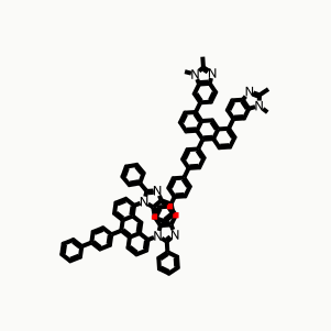 Cc1nc2ccc(-c3cccc4c(-c5ccc(-c6ccc(-c7ccc8c(c7)nc(-c7ccccc7)n8-c7cccc8c(-c9ccc(-c%10ccccc%10)cc9)c9cccc(-n%10c(-c%11ccccc%11)nc%11ccccc%11%10)c9cc78)cc6)cc5)c5cccc(-c6ccc7nc(C)n(C)c7c6)c5cc34)cc2n1C